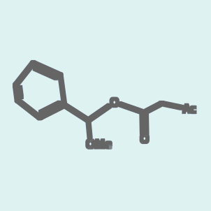 COC(OC(=O)CC(C)=O)c1ccccc1